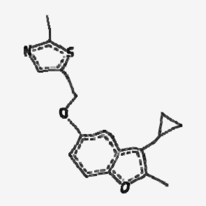 Cc1ncc(COc2ccc3oc(C)c(C4CC4)c3c2)s1